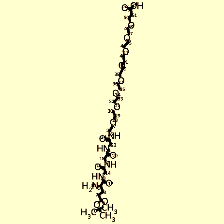 CC(C)(C)OC(=O)CC[C@H](N)C(=O)NCC(=O)NCC(=O)NCC(=O)NCCOCCOCCOCCOCCOCCOCCOCCOCCC(=O)O